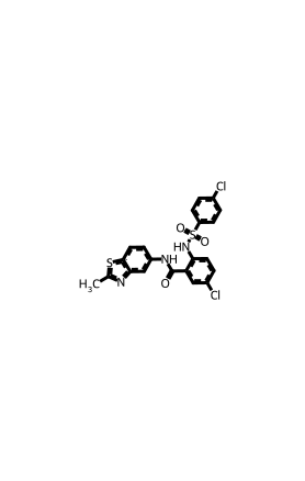 Cc1nc2cc(NC(=O)c3cc(Cl)ccc3NS(=O)(=O)c3ccc(Cl)cc3)ccc2s1